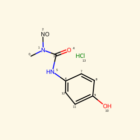 CN(N=O)C(=O)Nc1ccc(O)cc1.Cl